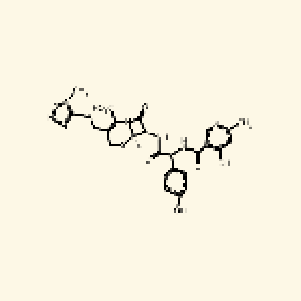 Cc1cc(O)c(C(=O)NC(C(=O)N[C@@H]2C(=O)N3C(C(=O)O)=C(CSc4nnnn4C)CS[C@H]23)c2ccc(O)cc2)cn1